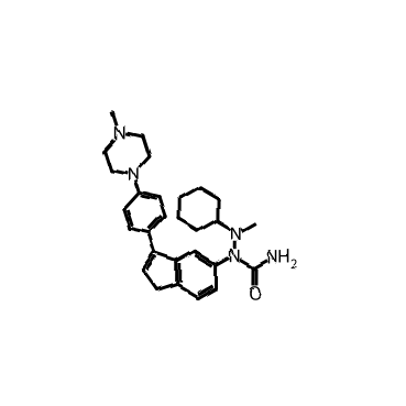 CN1CCN(c2ccc(C3=CCc4ccc(N(C(N)=O)N(C)C5CCCCC5)cc43)cc2)CC1